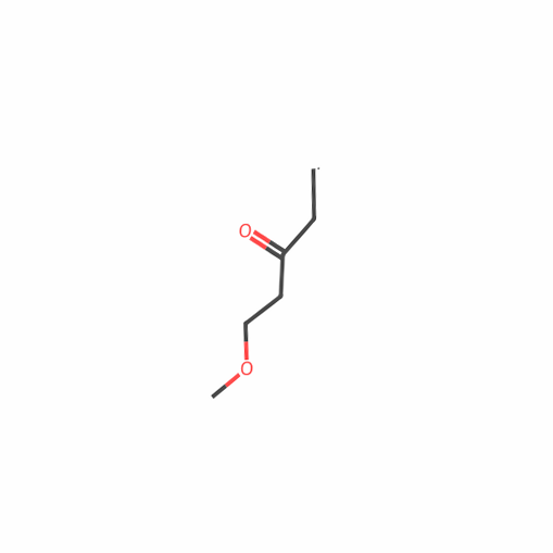 [CH2]CC(=O)CCOC